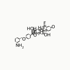 C[C@]12C=CC(=O)C=C1[C@@H](F)C[C@H]1[C@@H]3C[C@H]4O[C@H](c5ccc(OCc6cccc(N)c6)cc5)O[C@@]4(C(=O)CO)[C@@]3(C)C[C@H](O)[C@@]12F